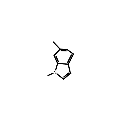 Cc1ccc2[c]cn(C)c2c1